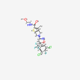 COCCNC(=O)c1sc2c(c1C)CN(C1=NOC(c3cc(Cl)c(F)c(Cl)c3)(C(F)(F)F)C1)C2